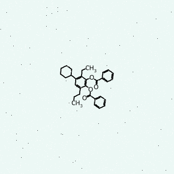 CCCc1cc(C2CCCCC2)c(CC)c(OC(=O)c2ccccc2)c1OC(=O)c1ccccc1